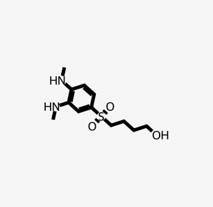 CNc1ccc(S(=O)(=O)CCCCO)cc1NC